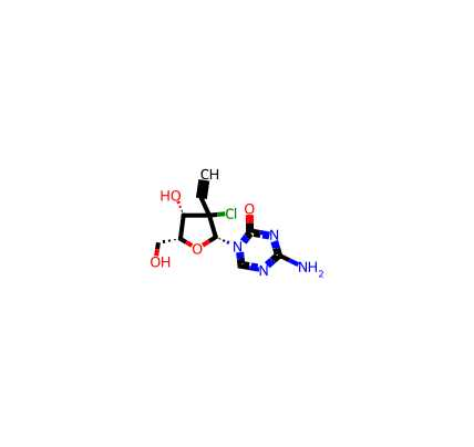 C#CC1(Cl)[C@@H](O)[C@@H](CO)O[C@H]1n1cnc(N)nc1=O